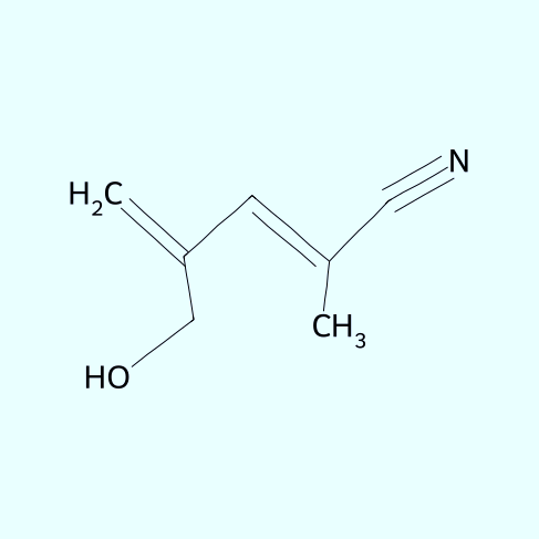 C=C(/C=C(\C)C#N)CO